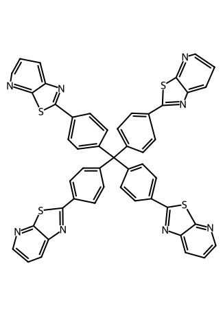 c1cnc2sc(-c3ccc(C(c4ccc(-c5nc6cccnc6s5)cc4)(c4ccc(-c5nc6cccnc6s5)cc4)c4ccc(-c5nc6cccnc6s5)cc4)cc3)nc2c1